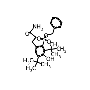 CC(C)(C)c1cc(CCC(N)=O)c(S(=O)(=O)OCc2ccccc2)c(C(C)(C)C)c1O